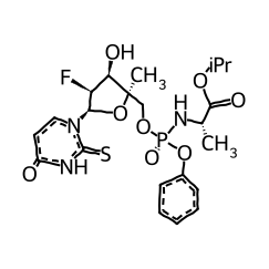 CC(C)OC(=O)[C@H](C)NP(=O)(OC[C@@]1(C)O[C@@H](n2ccc(=O)[nH]c2=S)[C@@H](F)[C@H]1O)Oc1ccccc1